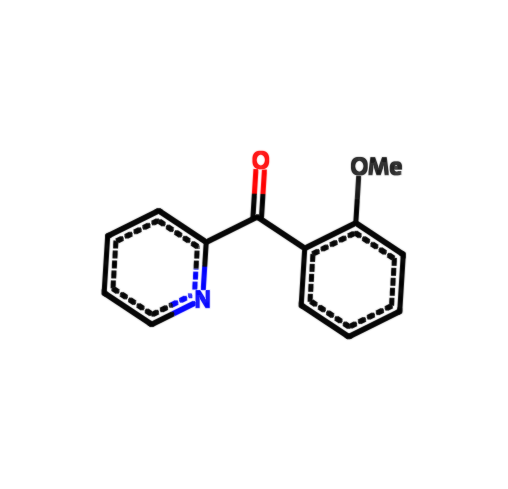 COc1ccccc1C(=O)c1ccccn1